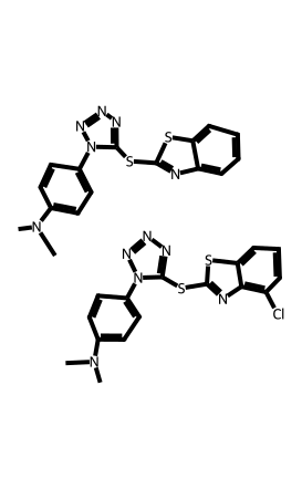 CN(C)c1ccc(-n2nnnc2Sc2nc3c(Cl)cccc3s2)cc1.CN(C)c1ccc(-n2nnnc2Sc2nc3ccccc3s2)cc1